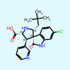 CC(C)(C)C[C@H]1N[C@@H](C(=O)O)[C@H](c2cccnc2)[C@@]12C(=O)Nc1cc(Cl)ccc12